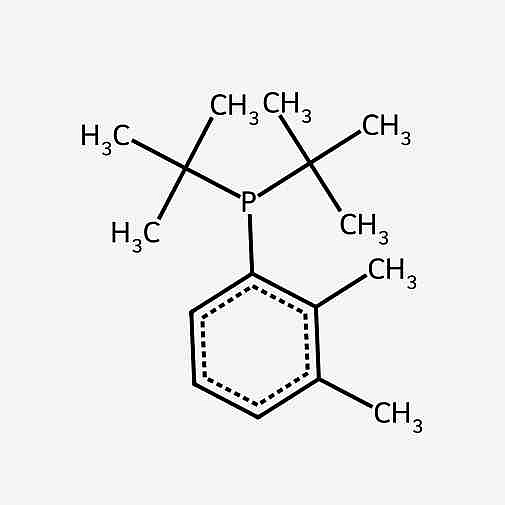 Cc1cccc(P(C(C)(C)C)C(C)(C)C)c1C